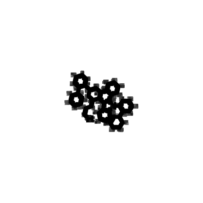 CC/C=C\C=C1/CC(c2ccccc2-c2ccccc2)=Cc2c1c1c3ccccc3n(-c3ccccc3C3C=CC=CC3)c1c1ccccc21